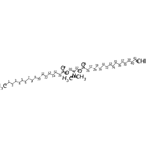 CCCCCCCCCCCCCCCCCC(=O)OCC(COC(=O)CCCCCCCCCCCCCCCCC)N(C)C